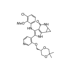 COc1c(Cl)cccc1Nc1c(-c2ccncc2OC[C@@H]2COC(C)(C)CO2)[nH]c2c1C(=O)NC1CC21